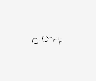 CC(C)NC(=O)Cc1ccc(-[n+]2ccccc2)cc1